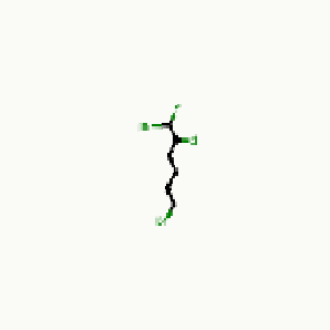 ClC(Br)C(Cl)CCCCBr